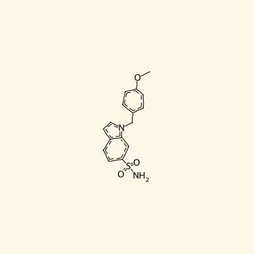 COc1ccc(Cn2ccc3ccc(S(N)(=O)=O)cc32)cc1